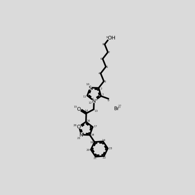 Cc1c(CCCCCCO)sc[n+]1CC(=O)c1cc(-c2ccccc2)no1.[Br-]